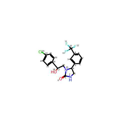 O=C1NCC(c2cccc(C(F)(F)F)c2)N1CC(O)c1ccc(Cl)cc1